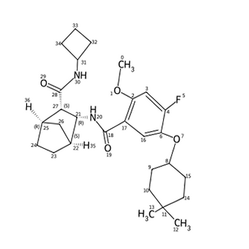 COc1cc(F)c(OC2CCC(C)(C)CC2)cc1C(=O)N[C@@H]1[C@H]2CC[C@H](C2)[C@@H]1C(=O)NC1CCC1